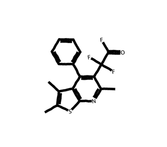 Cc1nc2sc(C)c(C)c2c(-c2ccccc2)c1C(F)(F)C(=O)F